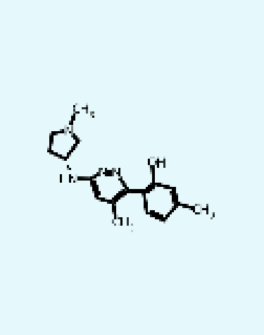 Cc1ccc(-c2nnc(N[C@@H]3CCN(C)C3)cc2C)c(O)c1